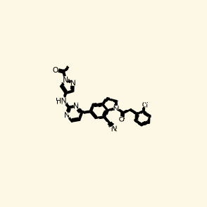 CC(=O)n1cc(Nc2nccc(-c3cc(C#N)c4c(c3)CCN4C(=O)Cc3ccccc3Cl)n2)cn1